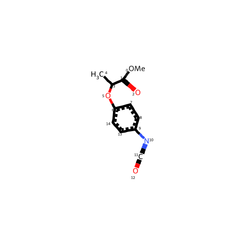 COC(=O)C(C)Oc1ccc(N=C=O)cc1